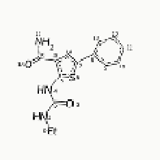 CCNC(=O)Nc1sc(-c2ccccc2)cc1C(N)=O